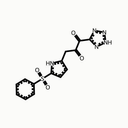 O=C(Cc1ccc(S(=O)(=O)c2ccccc2)[nH]1)C(=O)c1nn[nH]n1